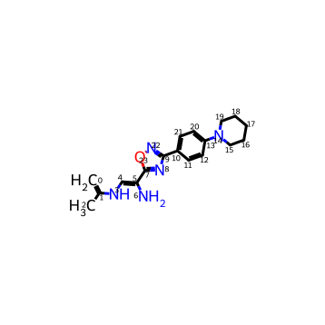 C=C(C)N/C=C(\N)c1nc(-c2ccc(N3CCCCC3)cc2)no1